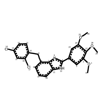 COc1cc(-c2nc3c(Cc4ccc(Cl)cc4Cl)cccc3[nH]2)cc(OC)c1OC